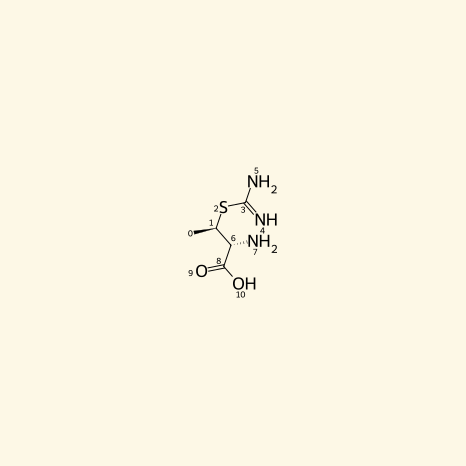 C[C@@H](SC(=N)N)[C@H](N)C(=O)O